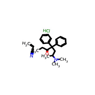 C=CC#N.CCC(=O)C(CC(C)N(C)C)(c1ccccc1)c1ccccc1.Cl